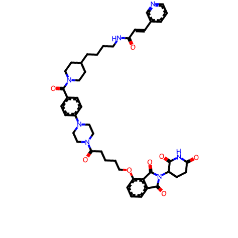 O=C(/C=C/c1cccnc1)NCCCCC1CCN(C(=O)c2ccc(N3CCN(C(=O)CCCCOc4cccc5c4C(=O)N(C4CCC(=O)NC4=O)C5=O)CC3)cc2)CC1